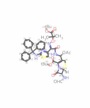 CC(=O)OC(NC(=O)/C(=N\OC(C)(C)C(=O)OC(C)(C)C)c1csc(NC(c2ccccc2)(c2ccccc2)c2ccccc2)n1)C1=C(C(=O)OC(C)(C)C)N2C(=O)[C@H](NC=O)[C@H]2SC1